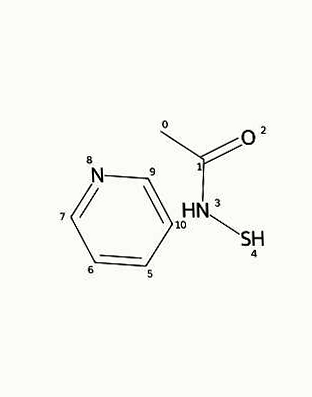 CC(=O)NS.c1ccncc1